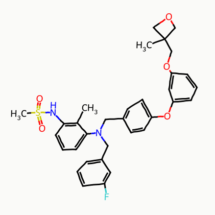 Cc1c(NS(C)(=O)=O)cccc1N(Cc1ccc(Oc2cccc(OCC3(C)COC3)c2)cc1)Cc1cccc(F)c1